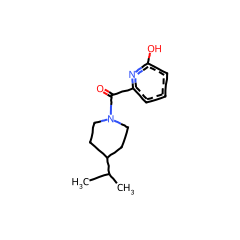 CC(C)C1CCN(C(=O)c2cccc(O)n2)CC1